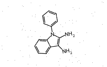 Nc1c(N)n(-c2ccccc2)c2ccccc12